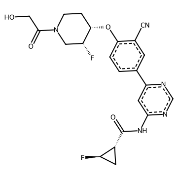 N#Cc1cc(-c2cc(NC(=O)[C@@H]3C[C@H]3F)ncn2)ccc1O[C@H]1CCN(C(=O)CO)C[C@H]1F